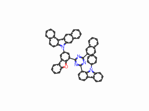 c1ccc(-n2c3ccccc3c3cccc(-c4nc(-c5ccc6ccccc6c5)nc(-c5cc(-n6c7cc8ccccc8cc7c7c8ccccc8ccc76)cc6c5oc5ccccc56)n4)c32)cc1